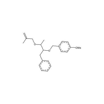 C=C(C)COC(C)C(Cc1ccccc1)OCc1ccc(OC)cc1